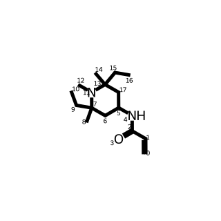 C=CC(=O)NC1CC(C)(CC)N(C)C(C)(CC)C1